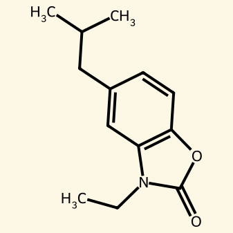 CCn1c(=O)oc2ccc(CC(C)C)cc21